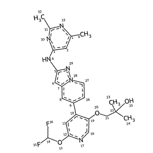 Cc1cc(Nc2cc3cc(-c4cc(OC(F)F)ncc4OCC(C)(C)O)ccn3n2)nc(C)n1